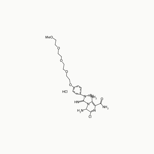 CCCCN(C(=N)N1C(N)=C(C(N)=O)N=C(Cl)C1N)c1ccc(OCCOCCOCCOCCOC)cc1.Cl